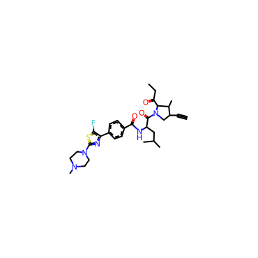 C#CC1CN(C(=O)C(CC(C)C)NC(=O)c2ccc(-c3nc(N4CCN(C)CC4)sc3F)cc2)C(C(=O)CC)C1C